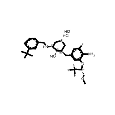 COC[C@@H](Oc1cc(C[C@@H]2CSC[C@H](NCc3cccc(C(C)(C)C)c3)[C@H]2O)cc(F)c1N)C(F)(F)F.Cl.Cl